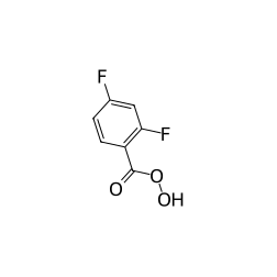 O=C(OO)c1ccc(F)cc1F